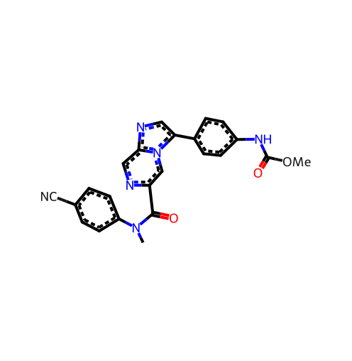 COC(=O)Nc1ccc(-c2cnc3cnc(C(=O)N(C)c4ccc(C#N)cc4)cn23)cc1